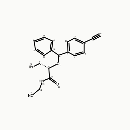 C#Cc1ccc(C(O[C@@H](CC(C)C)C(=O)NCC#N)c2ccccc2)cc1